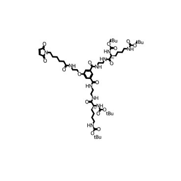 CC(C)(C)OC(=O)NCCCC[C@H](NC(=O)OC(C)(C)C)C(=O)NCCNC(=O)c1cc(OCCNC(=O)CCCCCN2C(=O)C=CC2=O)cc(C(=O)NCCNC(=O)[C@H](CCCCNC(=O)OC(C)(C)C)NC(=O)OC(C)(C)C)c1